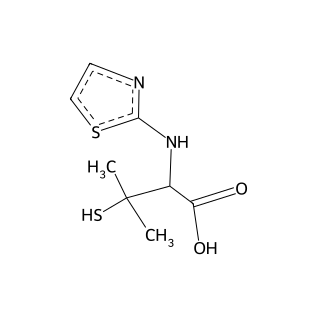 CC(C)(S)C(Nc1nccs1)C(=O)O